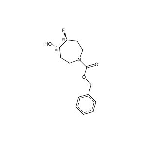 O=C(OCc1ccccc1)N1CC[C@H](O)[C@@H](F)CC1